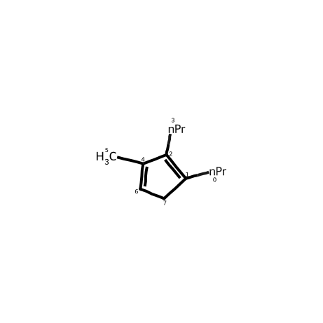 CCCC1=C(CCC)C(C)=CC1